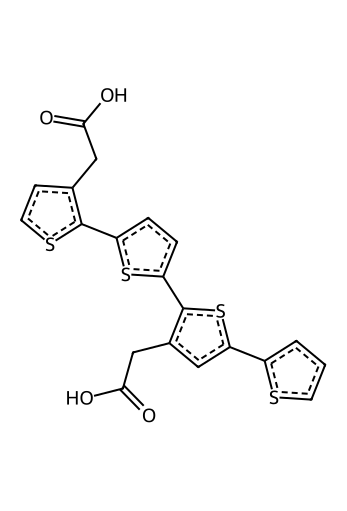 O=C(O)Cc1ccsc1-c1ccc(-c2sc(-c3cccs3)cc2CC(=O)O)s1